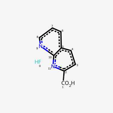 F.O=C(O)c1ccc2cccnc2n1